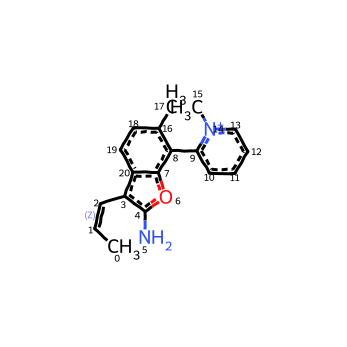 C/C=C\c1c(N)oc2c(-c3cccc[n+]3C)c(C)ccc12